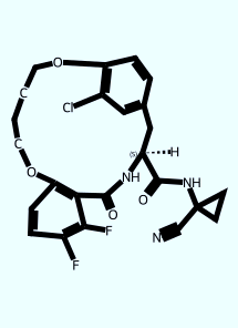 N#CC1(NC(=O)[C@@H]2Cc3ccc(c(Cl)c3)OCCCCOc3ccc(F)c(F)c3C(=O)N2)CC1